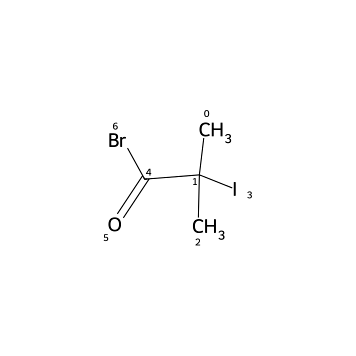 CC(C)(I)C(=O)Br